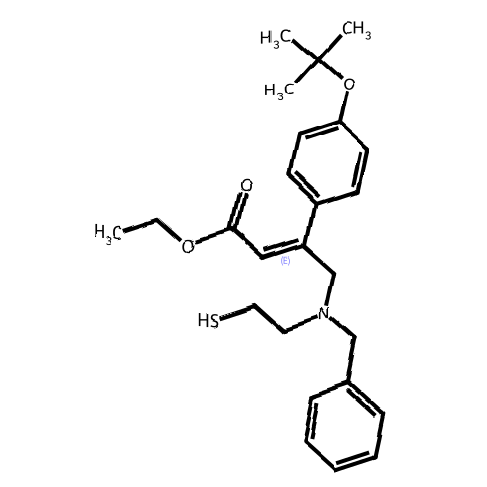 CCOC(=O)/C=C(/CN(CCS)Cc1ccccc1)c1ccc(OC(C)(C)C)cc1